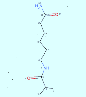 CC(C)C(=O)NCCCCCC(N)=O